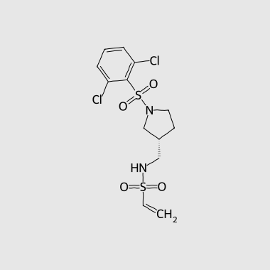 C=CS(=O)(=O)NC[C@H]1CCN(S(=O)(=O)c2c(Cl)cccc2Cl)C1